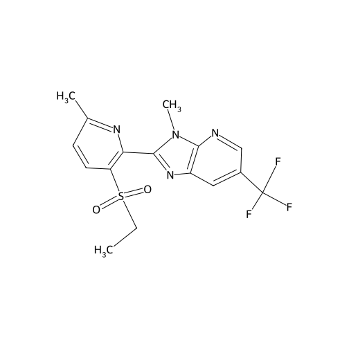 CCS(=O)(=O)c1ccc(C)nc1-c1nc2cc(C(F)(F)F)cnc2n1C